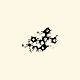 CC1C2CC(C(O)CC(=O)OC(C)(C)C)C(C2)C1CC(CC(C(=O)OC1CCOC1=O)C1C2CCC(C2)C1C)C(=O)OC1(C)CCCC1